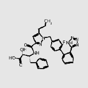 CCCc1cc(C(=O)N[C@H](Cc2ccccc2)[C@@H](O)C(=O)O)nn1Cc1ccc(-c2ccccc2-c2nnn[nH]2)c(F)c1